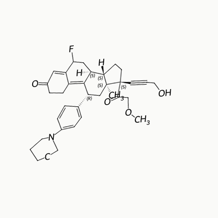 COCC(=O)[C@@]1(C#CCO)CC[C@H]2[C@@H]3CC(F)C4=CC(=O)CCC4=C3[C@@H](c3ccc(N4CCCCC4)cc3)C[C@@]21C